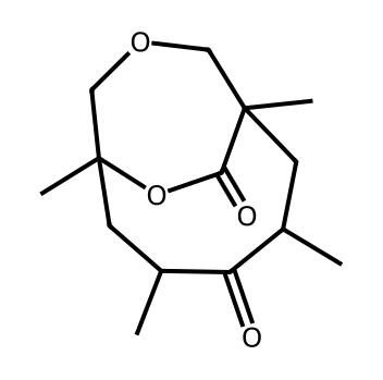 CC1CC2(C)COCC(C)(CC(C)C1=O)C(=O)O2